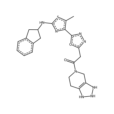 Cc1sc(NC2Cc3ccccc3C2)nc1-c1nnc(CC(=O)N2CCC3=C(C2)NNN3)o1